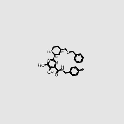 O=C(NCc1ccc(F)cc1)c1nc([C@@H]2C[C@H](COCc3ccccc3)CCN2)nc(O)c1O